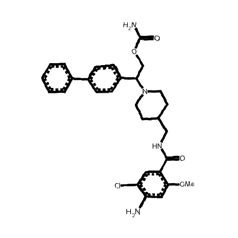 COc1cc(N)c(Cl)cc1C(=O)NCC1CCN(C(COC(N)=O)c2ccc(-c3ccccc3)cc2)CC1